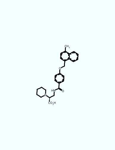 Cc1ccc(COc2ccc(C(=O)NC[C@@H](C(=O)O)N3CCCCC3)cc2)c2ccccc12